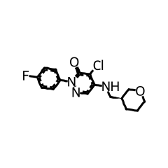 O=c1c(Cl)c(NC[C@@H]2CCCOC2)cnn1-c1ccc(F)cc1